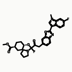 COC(=O)[C@H]1CC[C@H](OC(F)(C(=O)Cc2ccc3nc(-c4cn(C)c5cc(F)ccc45)oc3c2)N2CCCC2)CC1